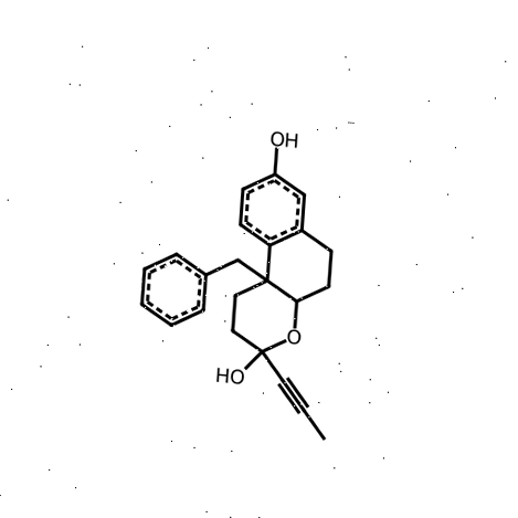 CC#CC1(O)CCC2(Cc3ccccc3)c3ccc(O)cc3CCC2O1